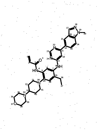 C=CC(=O)Nc1cc(Nc2cc(-c3ccc4c(cnn4C)c3)ncn2)c(CC)cc1N1CCC(N2CCOCC2)CC1